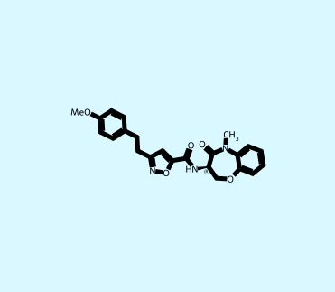 COc1ccc(CCc2cc(C(=O)N[C@@H]3COc4ccccc4N(C)C3=O)on2)cc1